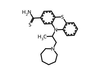 CC(CN1CCCCCC1)N1c2ccccc2Sc2ccc(C(N)=S)cc21